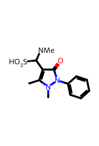 CNC(c1c(C)n(C)n(-c2ccccc2)c1=O)S(=O)(=O)O